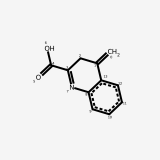 C=C1CC(C(=O)O)=Nc2ccccc21